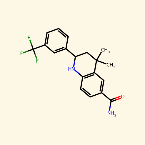 CC1(C)CC(c2cccc(C(F)(F)F)c2)Nc2ccc(C(N)=O)cc21